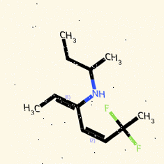 C/C=C(\C=C/C(C)(F)F)NC(C)CC